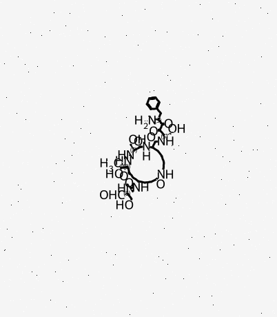 C[C@@H](O)[C@@H]1NN[C@@H](CO)C(=O)NC(C(=O)N[C@@H](CO)C(=O)C(=O)[C@@H](N)Cc2ccccc2)CCCCNC(=O)CCC(NN[C@H](C=O)CO)C(=O)C1=O